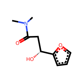 CN(C)C(=O)C[C@@H](O)c1ccco1